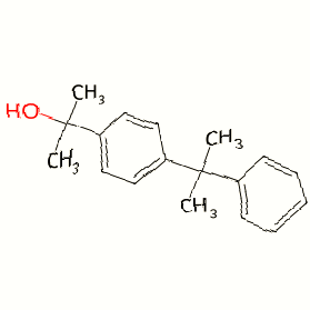 CC(C)(O)c1ccc(C(C)(C)c2ccccc2)cc1